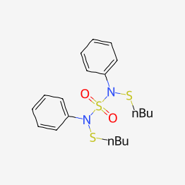 CCCCSN(c1ccccc1)S(=O)(=O)N(SCCCC)c1ccccc1